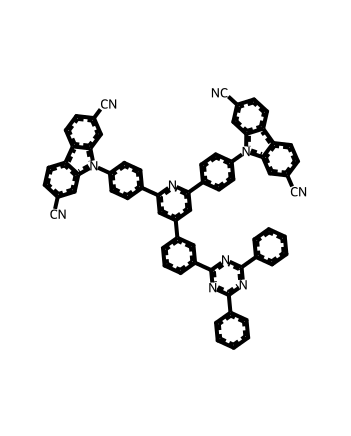 N#Cc1ccc2c3ccc(C#N)cc3n(-c3ccc(-c4cc(-c5cccc(-c6nc(-c7ccccc7)nc(-c7ccccc7)n6)c5)cc(-c5ccc(-n6c7cc(C#N)ccc7c7ccc(C#N)cc76)cc5)n4)cc3)c2c1